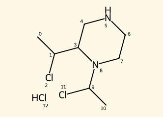 CC(Cl)C1CNCCN1C(C)Cl.Cl